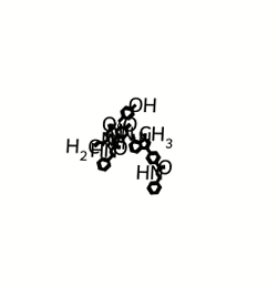 C=CCN1CC(=O)N2[C@@H](Cc3ccc(O)cc3)C(=O)N(Cc3cccc4c(-c5ccc(C(=O)NCc6ccccc6)cc5)cn(C)c34)C[C@@H]2N1C(=O)NCc1ccccc1